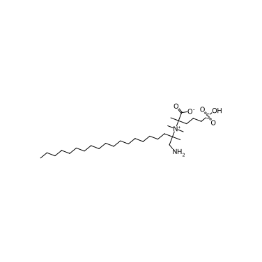 CCCCCCCCCCCCCCCCCCC(C)(CN)[N+](C)(C)C(C)(CCCS(=O)(=O)O)C(=O)[O-]